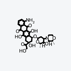 C[C@@H]1O[C@@H](O[C@H]2C[C@](O)(C(=O)CO)Cc3c(O)c4c(c(O)c32)C(=O)c2c(N)cccc2C4=O)CC2[C@@H]1O[C@@H]1[C@@H](C)OCCN21